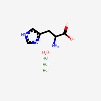 Cl.Cl.Cl.NC(Cc1c[nH]cn1)C(=O)O.O